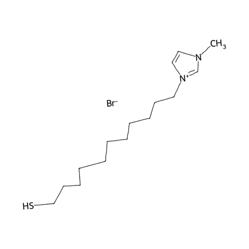 Cn1cc[n+](CCCCCCCCCCCS)c1.[Br-]